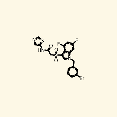 O=C(CS(=O)(=O)c1cn(Cc2cccc(Br)c2)c2cc(F)cc(F)c12)Nc1cncs1